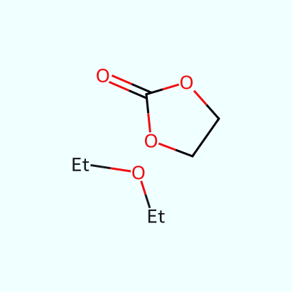 CCOCC.O=C1OCCO1